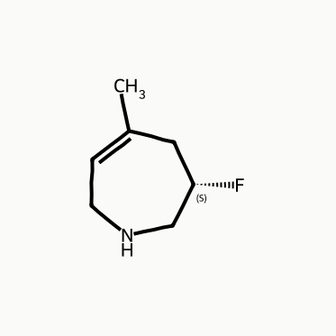 CC1=CCNC[C@@H](F)C1